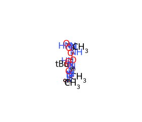 Cc1cc(N2CC[C@](C)(c3ccccc3)C2)cn2nc(C(=O)N3CC[C@@]4(CCN(c5ccc(NC(=O)CCCCC(=O)Nc6ccc7c(C8CCC(=O)NC8=O)nn(C)c7c6)c(C(=O)OC(C)(C)C)n5)C4)C3)nc12